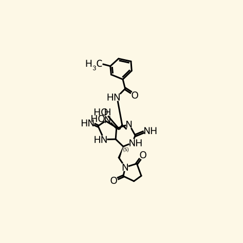 Cc1cccc(C(=O)NC2CN3C(=N)N[C@@H](CN4C(=O)CCC4=O)C4NC(=N)NC43C2(O)O)c1